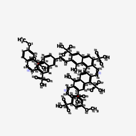 COc1ccc(/N=N\c2c(S(=O)(=O)O)cc3cc(N=Nc4c(S(=O)(=O)O)cc5cc(S(=O)(=O)O)c(/N=N\c6ccc7c(O)c(/N=N\c8ccc(OC)cc8S(=O)(=O)O)c(S(=O)(=O)O)cc7c6S(=O)(=O)O)c(N)c5c4O)ccc3c2O)c(S(=O)(=O)O)c1